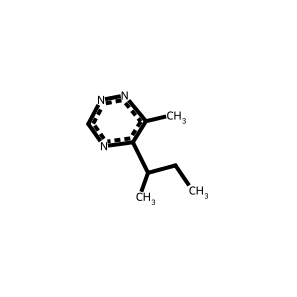 CCC(C)c1ncnnc1C